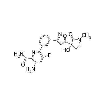 CN1CCC(O)(c2cc(-c3cccc(-c4nc(C(N)=O)c(N)cc4F)c3)no2)C1=O